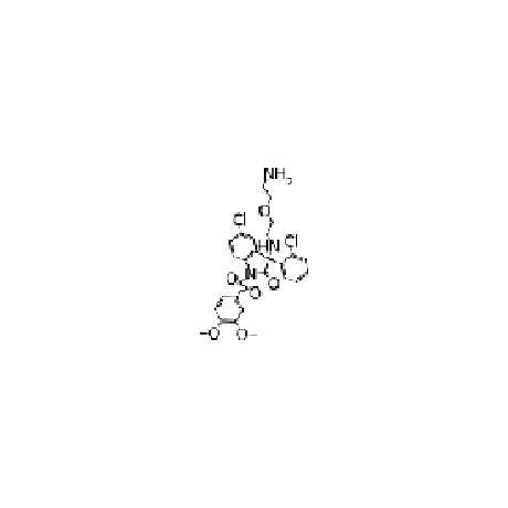 COc1ccc(S(=O)(=O)N2C(=O)C(NCCOCCN)(c3ccccc3Cl)c3cc(Cl)ccc32)cc1OC